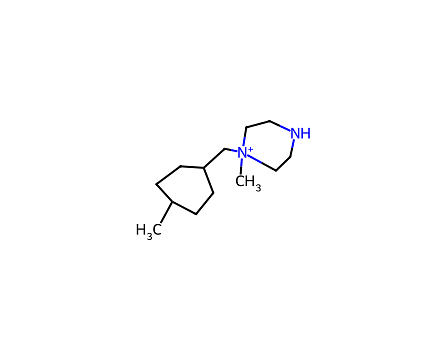 CC1CCC(C[N+]2(C)CCNCC2)CC1